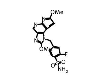 COc1ccc2c(ncc3nc(OC)n(Cc4ccc(S(N)(=O)=O)c(F)c4)c32)n1